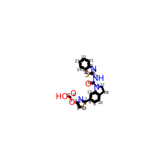 O=C(O)Oc1csc(-c2ccc3c(c2)N(C(=O)Nc2nc4ccccc4s2)CC3)n1